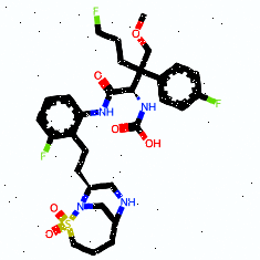 COCC(CCCF)(c1ccc(F)cc1)[C@H](NC(=O)O)C(=O)Nc1cccc(F)c1CC[C@H]1CNC2CCCS(=O)(=O)N1C2